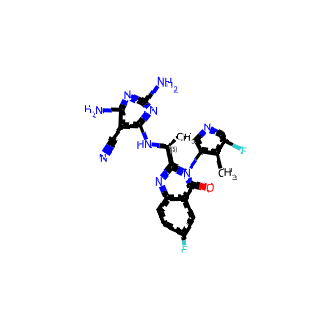 Cc1c(F)cncc1-n1c([C@H](C)Nc2nc(N)nc(N)c2C#N)nc2ccc(F)cc2c1=O